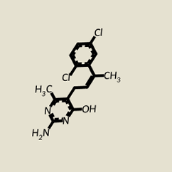 C/C(=C/Cc1c(C)nc(N)nc1O)c1cc(Cl)ccc1Cl